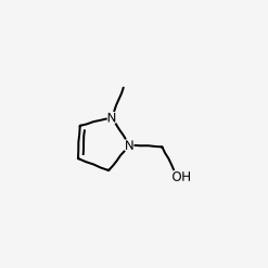 CN1C=CCN1CO